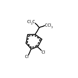 Clc1ccc(C(C(Cl)(Cl)Cl)C(Cl)(Cl)Cl)cc1Cl